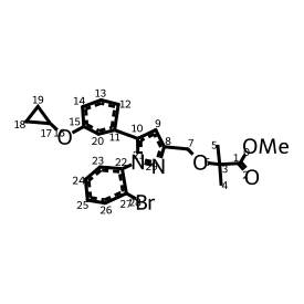 COC(=O)C(C)(C)OCc1cc(-c2cccc(OC3CC3)c2)n(-c2ccccc2Br)n1